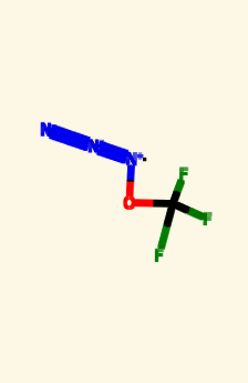 [N-]=[N+]=[N+]OC(F)(F)F